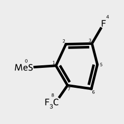 CSc1cc(F)ccc1C(F)(F)F